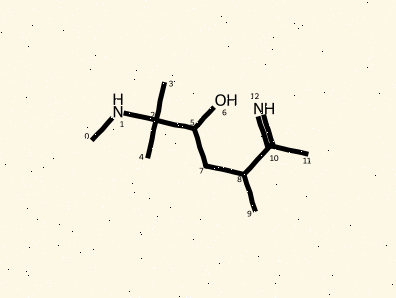 CNC(C)(C)C(O)CC(C)C(C)=N